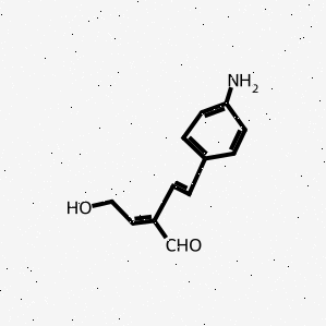 Nc1ccc(/C=C/C(C=O)=C\CO)cc1